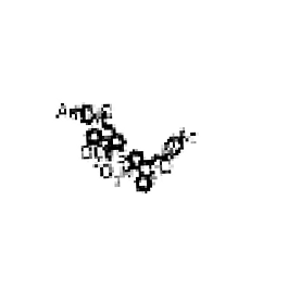 CC(=O)N1CCN(C(=O)/C=C/c2ccc(Sc3ccc(/C=C/C(=O)N4CCN(C(C)=O)CC4)c(-c4ccccc4Cl)c3[N+](=O)[O-])c([N+](=O)[O-])c2-c2ccccc2Cl)CC1